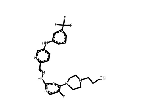 OCCN1CCN(c2nc(N/N=C/c3ccc(Nc4cccc(C(F)(F)F)c4)cn3)ncc2F)CC1